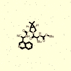 CC(C)(C)OC(=O)N[C@H](C(=O)N1C[C@H]2[C@@H]([C@H]1C(=O)NC(C#N)c1cncc3ccccc13)C2(C)C)C(C)(C)C